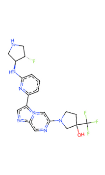 OC1(C(F)(F)F)CCN(c2cn3c(-c4cccc(N[C@H]5CNC[C@@H]5F)n4)cnc3cn2)C1